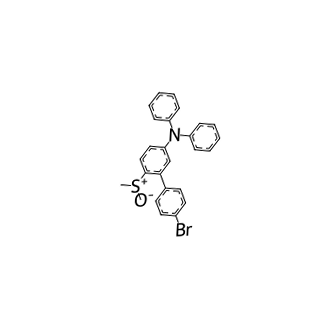 C[S+]([O-])c1ccc(N(c2ccccc2)c2ccccc2)cc1-c1ccc(Br)cc1